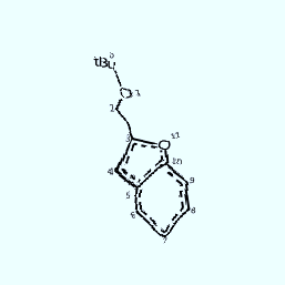 CC(C)(C)OCc1cc2ccccc2o1